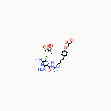 CS(=O)(=O)O.N=C(NCCCCc1ccc(OCC(O)CO)cc1)NC(=O)c1nc(Cl)c(N)nc1N